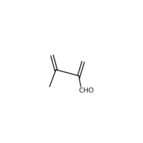 C=C(C)C(=C)C=O